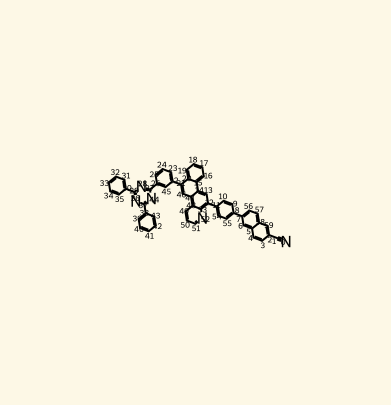 N#Cc1ccc2cc(-c3ccc(-c4cc5c6ccccc6c(-c6cccc(-c7nc(-c8ccccc8)nc(-c8ccccc8)n7)c6)cc5c5cccnc45)cc3)ccc2c1